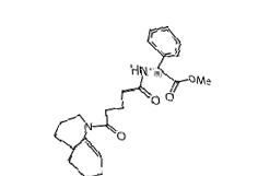 COC(=O)[C@H](NC(=O)CCCC(=O)N1CCCC2CCCC=C21)c1ccccc1